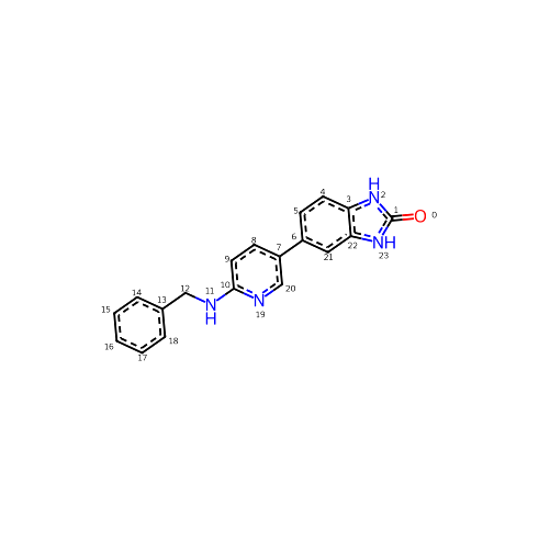 O=c1[nH]c2ccc(-c3ccc(NCc4ccccc4)nc3)cc2[nH]1